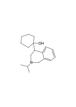 CC(C)N1Cc2ccccc2C(C2(O)CCCCC2)C1